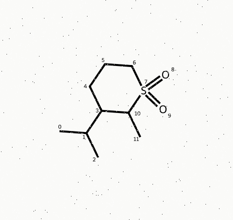 CC(C)C1CCCS(=O)(=O)C1C